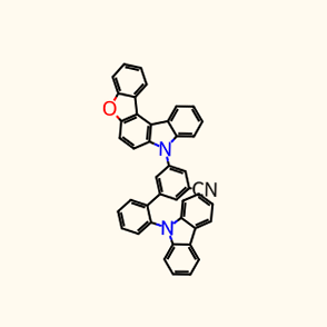 N#Cc1cc(-c2ccccc2-n2c3ccccc3c3ccccc32)cc(-n2c3ccccc3c3c4c(ccc32)oc2ccccc24)c1